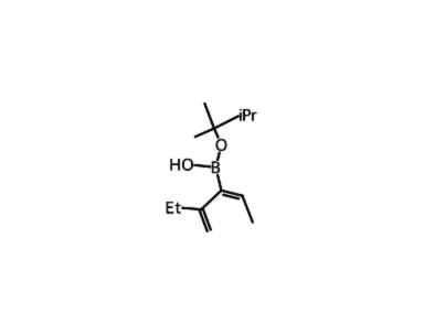 C=C(CC)/C(=C\C)B(O)OC(C)(C)C(C)C